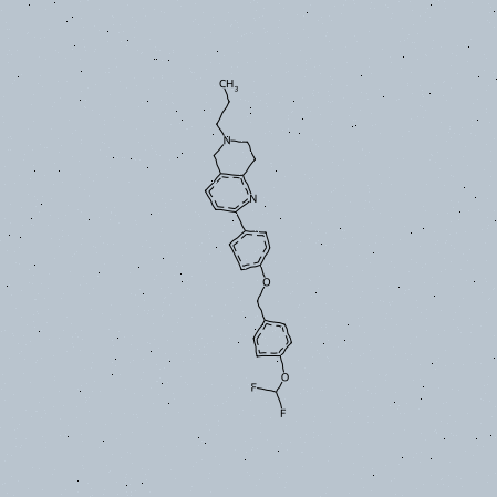 CCCN1CCc2nc(-c3ccc(OCc4ccc(OC(F)F)cc4)cc3)ccc2C1